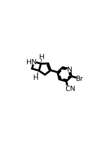 N#Cc1cc(C2=C[C@@H]3NC[C@@H]3C2)cnc1Br